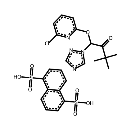 CC(C)(C)C(=O)C(Oc1cccc(Cl)n1)n1cncn1.O=S(=O)(O)c1cccc2c(S(=O)(=O)O)cccc12